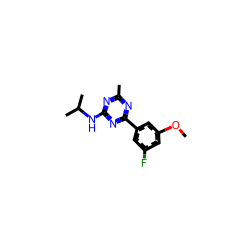 COc1cc(F)cc(-c2nc(C)nc(NC(C)C)n2)c1